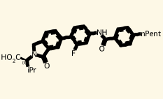 CCCCCc1ccc(C(=O)Nc2ccc(-c3ccc4c(c3)C(=O)N([C@H](C(=O)O)C(C)C)C4)c(F)c2)cc1